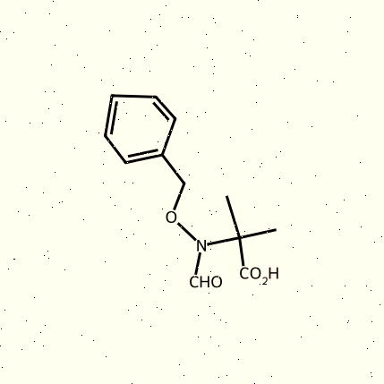 CC(C)(C(=O)O)N(C=O)OCc1ccccc1